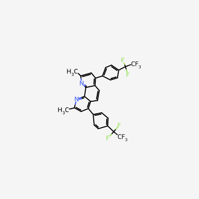 Cc1cc(-c2ccc(C(F)(F)C(F)(F)F)cc2)c2ccc3c(-c4ccc(C(F)(F)C(F)(F)F)cc4)cc(C)nc3c2n1